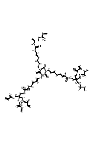 C=CC(=O)OCC(C)OC(=O)NCCCCCCn1c(=O)n(CCCCCCNC(=O)OCC(COC(=O)C=C)(COC(=O)C=C)COC(=O)C=C)c(=O)n(CCCCCCNC(=O)OCC(COC(=O)C=C)(COC(=O)C=C)COC(=O)C=C)c1=O